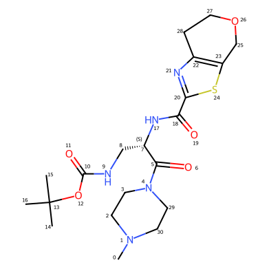 CN1CCN(C(=O)[C@H](CNC(=O)OC(C)(C)C)NC(=O)c2nc3c(s2)COCC3)CC1